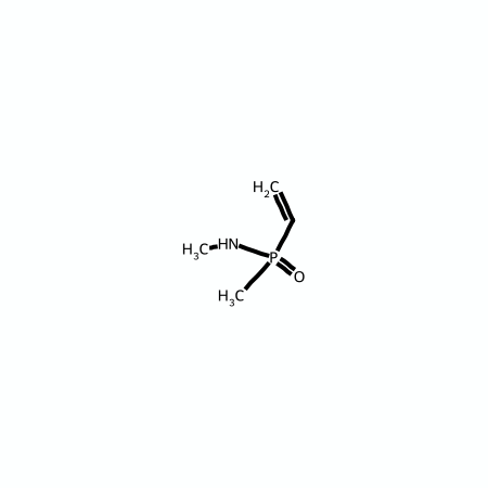 C=CP(C)(=O)NC